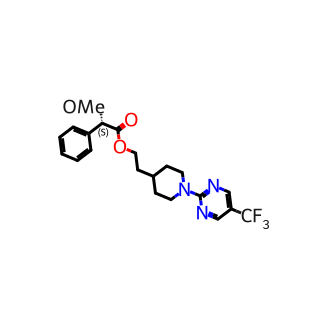 CO[C@H](C(=O)OCCC1CCN(c2ncc(C(F)(F)F)cn2)CC1)c1ccccc1